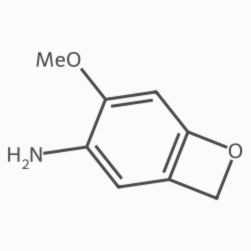 COc1cc2c(cc1N)CO2